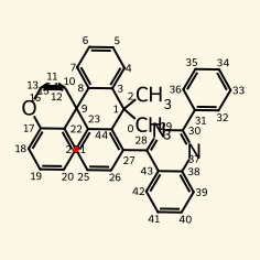 CC1(C)c2ccccc2C2(c3ccccc3Oc3ccccc32)c2cccc(-c3nc(-c4ccccc4)nc4ccccc34)c21